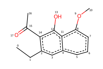 CCc1cc2cccc(OC)c2c(O)c1C(C)=O